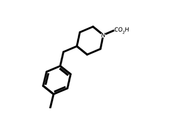 Cc1ccc(CC2CCN(C(=O)O)CC2)cc1